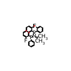 CC(C)N(P(c1ccccc1)c1ccccc1F)P(c1ccccc1F)c1ccccc1F